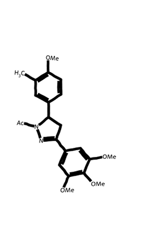 COc1ccc(C2CC(c3cc(OC)c(OC)c(OC)c3)=NN2C(C)=O)cc1C